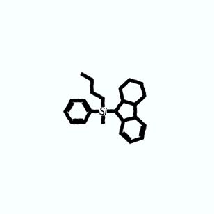 CCCC[Si](C)(c1ccccc1)C1C2C=CC=CC2C2CCCCC21